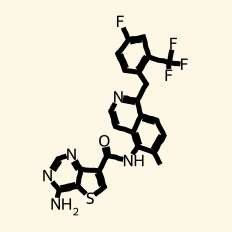 Cc1ccc2c(Cc3ccc(F)cc3C(F)(F)F)nccc2c1NC(=O)c1csc2c(N)ncnc12